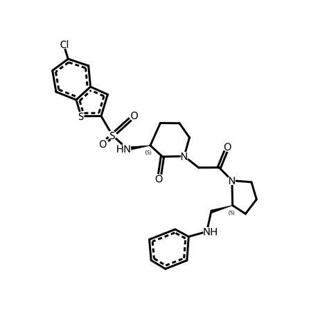 O=C1[C@@H](NS(=O)(=O)c2cc3cc(Cl)ccc3s2)CCCN1CC(=O)N1CCC[C@H]1CNc1ccccc1